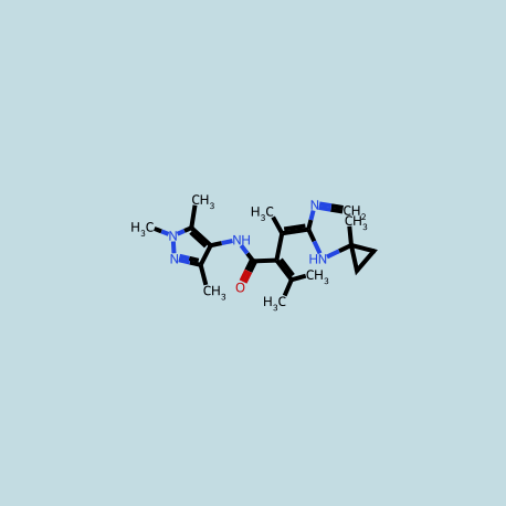 C=N/C(NC1(C)CC1)=C(\C)C(C(=O)Nc1c(C)nn(C)c1C)=C(C)C